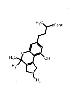 CCCCCC(C)CCc1cc(O)c2c(c1)OC(C)(C)C1=C2CN(C)C1